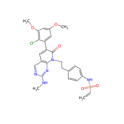 C=CS(=O)(=O)Nc1ccc(CCn2c(=O)c(-c3cc(OC)cc(OC)c3Cl)cc3cnc(NC)nc32)cc1